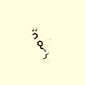 CNC(=O)CC1CN=C(c2cc3cc(Oc4ccc(S(C)(=O)=O)cn4)cc(OC)c3[nH]2)S1